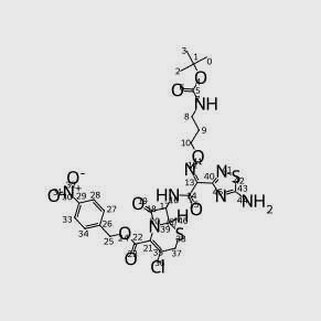 CC(C)(C)OC(=O)NCCCON=C(C(=O)NC1C(=O)N2C(C(=O)OCc3ccc([N+](=O)[O-])cc3)=C(Cl)CS[C@@H]12)c1nsc(N)n1